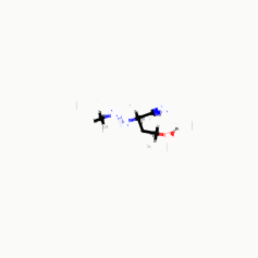 COC(C)(C)CC(C)(C#N)N=NC(C)(C)C